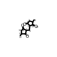 CC1CC(=O)C(CC2C(=O)CC(C)C2=O)C1=O